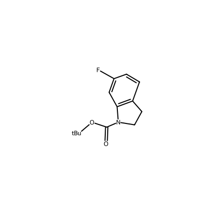 CC(C)(C)OC(=O)N1CCc2ccc(F)cc21